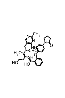 C/C(=C(CCO)/[SH]=C(\O)c1ccccc1Oc1ccc(N2CCCC2=O)cc1)N(C=O)Cc1cnc(C)nc1N